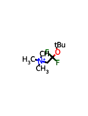 CC(C)(C)OC(F)(F)C[N+](C)(C)C